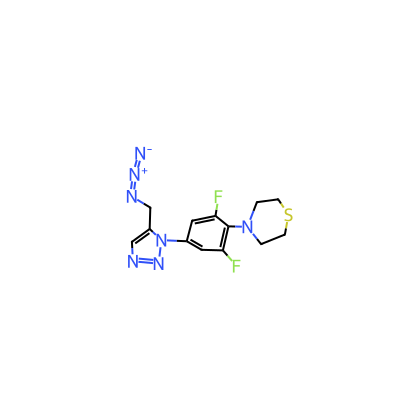 [N-]=[N+]=NCc1cnnn1-c1cc(F)c(N2CCSCC2)c(F)c1